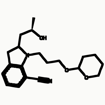 C[C@H](O)CC1Cc2cccc(C#N)c2N1CCCOC1CCCCO1